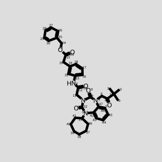 CC(C)(C)C(=O)CN1C(=O)N(CC(=O)Nc2cccc(CC(=O)OCc3ccccc3)c2)C(=O)N(C2CCCCCC2)c2ccccc21